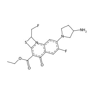 CCOC(=O)c1c2n(c3cc(N4CCC(N)C4)c(F)cc3c1=O)C(CF)S2